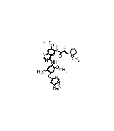 COc1cc2ncnc(Nc3cc(C)c(Oc4cc5ncnn5cn4)cc3OC)c2cc1NC(=O)/C(F)=C/[C@H]1CCCN1C